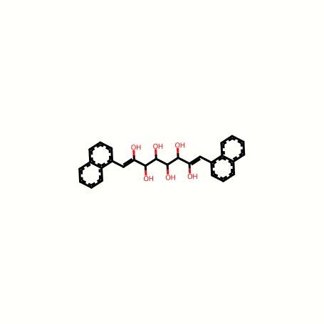 OC(=Cc1cccc2ccccc12)C(O)C(O)C(O)C(O)C(O)=Cc1cccc2ccccc12